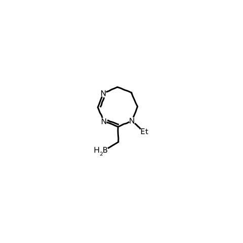 BC/C1=N/C=N\CCCN1CC